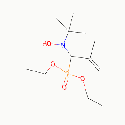 C=C(C)C(N(O)C(C)(C)C)P(=O)(OCC)OCC